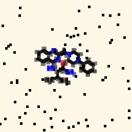 CC(C)[C@H](Nc1nc(CN2CCN(c3ccccc3)CC2)nc2ccccc12)C(N)=O